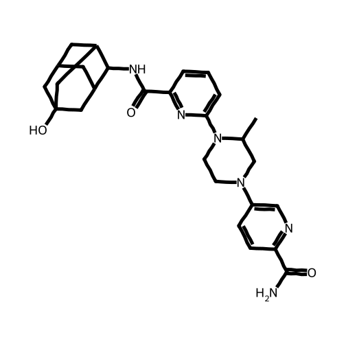 CC1CN(c2ccc(C(N)=O)nc2)CCN1c1cccc(C(=O)NC2C3CC4CC2CC(O)(C4)C3)n1